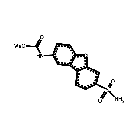 COC(=O)Nc1ccc2sc3cc(S(N)(=O)=O)ccc3c2c1